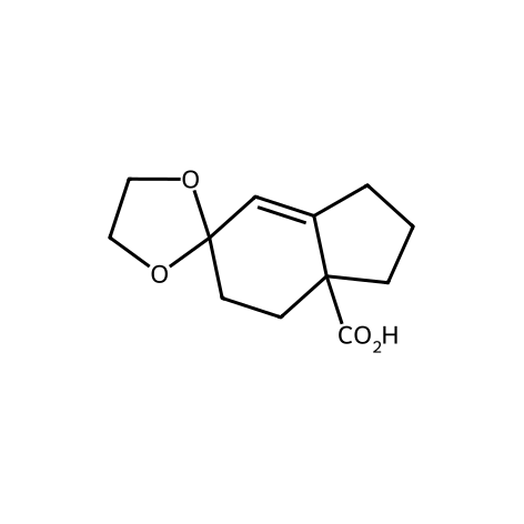 O=C(O)C12CCCC1=CC1(CC2)OCCO1